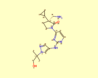 CC(C)(CO)n1cc(Nc2nccc(N3CC[C@@](CN)(C4CC4)C3=O)n2)cn1